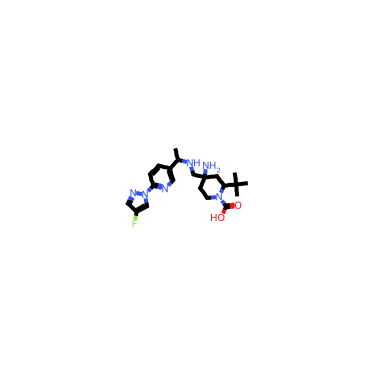 CC(NCC1(N)CCN(C(=O)O)C(C(C)(C)C)C1)c1ccc(-n2cc(F)cn2)nc1